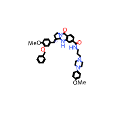 COc1ccc(N2CCN(CCCNC(=O)c3ccc4c(c3)NC3/C(=C/c5ccc(OC)c(OCc6ccccc6)c5)CCN3C4=O)CC2)cc1